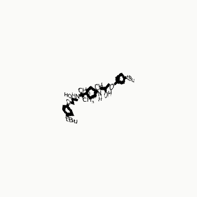 CC1(NCC(O)COc2ccc(C(C)(C)C)cc2)CCC(C(C)(C)NCC(O)COc2ccc(C(C)(C)C)cc2)CC1